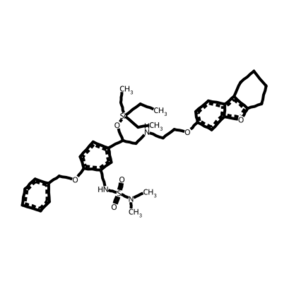 CC[Si](CC)(CC)OC(CNCCOc1ccc2c3c(oc2c1)CCCC3)c1ccc(OCc2ccccc2)c(NS(=O)(=O)N(C)C)c1